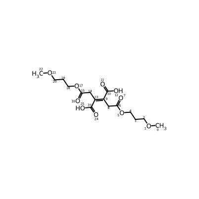 COCCCOC(=O)C/C(C(=O)O)=C(/CC(=O)OCCCOC)C(=O)O